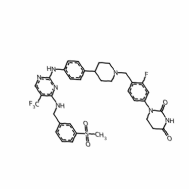 CS(=O)(=O)c1cccc(CNc2nc(Nc3ccc(C4CCN(Cc5ccc(N6CCC(=O)NC6=O)cc5F)CC4)cc3)ncc2C(F)(F)F)c1